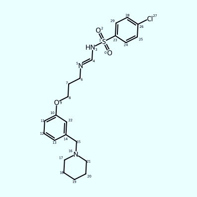 O=S(=O)(NC=NCCCOc1cccc(CN2CCCCC2)c1)c1ccc(Cl)cc1